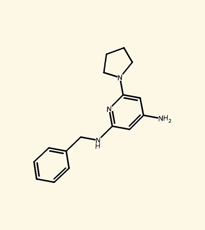 Nc1cc(NCc2ccccc2)nc(N2CCCC2)c1